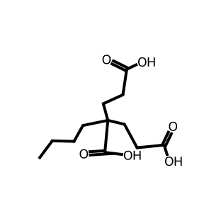 CCCCC(CCC(=O)O)(CCC(=O)O)C(=O)O